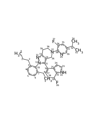 CCCc1cccc(CC)c1-n1nc2c(c1C1=CCC(F)c3[nH]ccc31)CN(c1ncc(C(C)C)cc1F)CC2